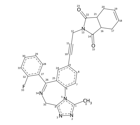 Cc1nnc2n1-c1ccc(C#CCN3C(=O)C4CC=CCC4C3=O)cc1C(c1ccccc1F)=NC2